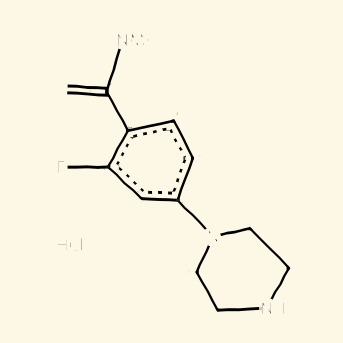 CNC(=O)c1ccc(N2CCNCC2)cc1F.Cl